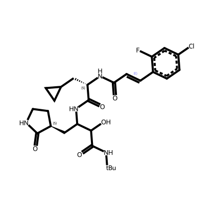 CC(C)(C)NC(=O)C(O)C(C[C@@H]1CCNC1=O)NC(=O)[C@H](CC1CC1)NC(=O)/C=C/c1ccc(Cl)cc1F